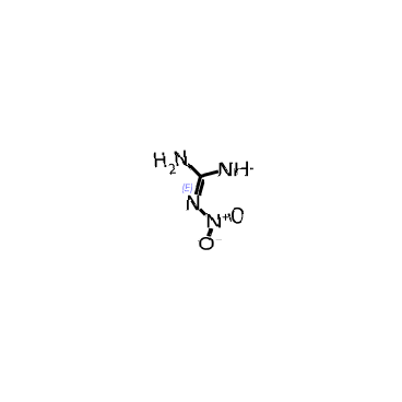 [NH]/C(N)=N\[N+](=O)[O-]